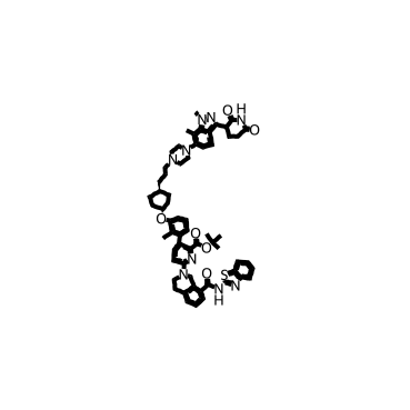 Cc1c(O[C@H]2CC[C@H](CCCN3CCN(c4ccc5c(C6CCC(=O)NC6=O)nn(C)c5c4C)CC3)CC2)cccc1-c1ccc(N2CCc3cccc(C(=O)Nc4nc5ccccc5s4)c3C2)nc1C(=O)OC(C)(C)C